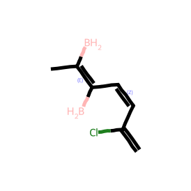 B/C(C)=C(B)\C=C/C(=C)Cl